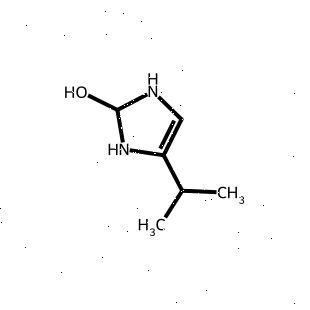 CC(C)C1=CNC(O)N1